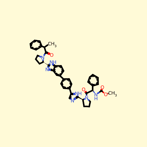 COC(=O)N[C@@H](C(=O)N1CCC[C@H]1c1ncc(-c2ccc(-c3ccc4[nH]c([C@@H]5CCCN5C(=O)C(C)c5ccccc5)nc4c3)cc2)[nH]1)c1ccccc1